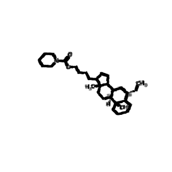 CC[C@H]1CC2C3CCC(CCCCOC(=O)N4CCCCC4)C3(C)CC[C@@H]2C2(C)CCCCC12